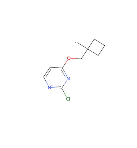 [CH2]C1(COc2ccnc(Cl)n2)CCC1